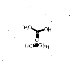 C#C.F.O=C(O)O